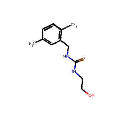 OCCNC(=S)NCc1cc(C(F)(F)F)ccc1C(F)(F)F